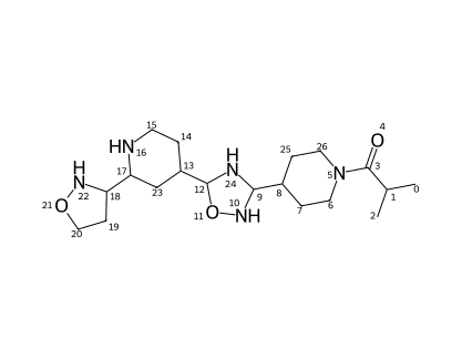 CC(C)C(=O)N1CCC(C2NOC(C3CCNC(C4CCON4)C3)N2)CC1